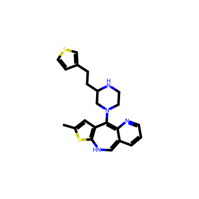 Cc1cc2c(s1)NC=c1cccnc1=C2N1CCNC(CCc2ccsc2)C1